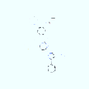 C=CC(=O)Nc1cc(Nc2nccc(-n3cc(CN(C)C)c(-c4ccccc4)n3)n2)c(OC)cc1N1CCOCC1.CS(=O)(=O)O